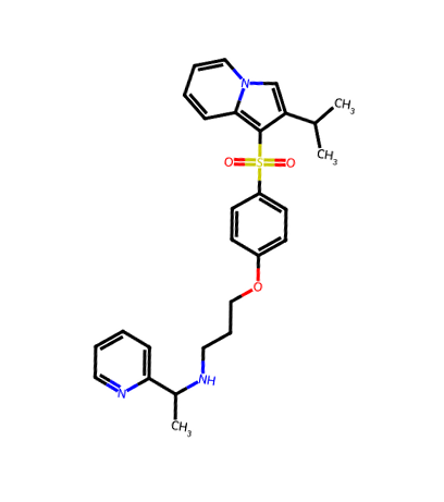 CC(C)c1cn2ccccc2c1S(=O)(=O)c1ccc(OCCCNC(C)c2ccccn2)cc1